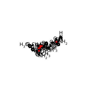 CCC[C@H](NC(=O)[C@H](Cc1ccc(-c2ccc(OC)cc2CC)cc1)NC(=O)[C@H](CC(=O)O)NC(=O)[C@H](CO)NC(=O)[C@@H](NC(=O)[C@](C)(Cc1ccccc1F)NC(=O)[C@@H](NC(=O)CNC(=O)[C@H](CCC(=O)O)NC(=O)[C@]1(C)CCCN1C(=O)[C@@H](N)Cc1c[nH]cn1)[C@@H](C)O)[C@@H](C)O)C(N)=O